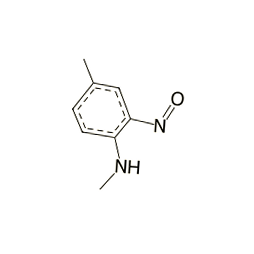 CNc1ccc(C)cc1N=O